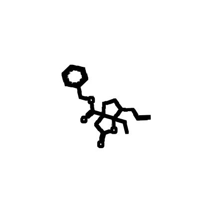 C=CCC1CCC2(C(=O)OCc3ccccc3)CC(=O)OC12CC